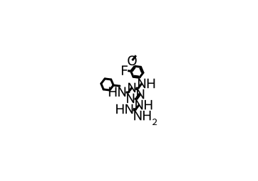 COc1ccc(Nc2nc(NCC3CCCCC3)nc(NC(=N)N)n2)cc1F